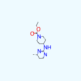 CCOC(=O)N1CCC(NC2=NC(C)CC=N2)CC1